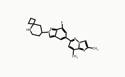 Cc1cn2nc(-c3cc(F)c4nn(C5CCNC6(CCC6)C5)cc4c3)cc(C)c2n1